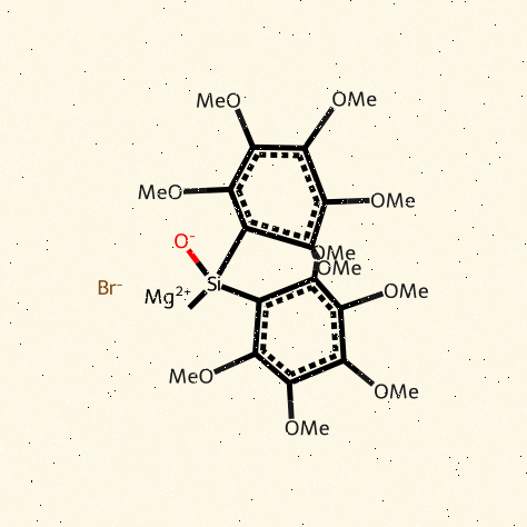 COc1c(OC)c(OC)c([Si](C)([O-])c2c(OC)c(OC)c(OC)c(OC)c2OC)c(OC)c1OC.[Br-].[Mg+2]